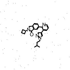 CC(C)CCn1cc(-c2cccnc2-c2ccc3c(c2)C(=O)N(C2CCC2)C3)cn1